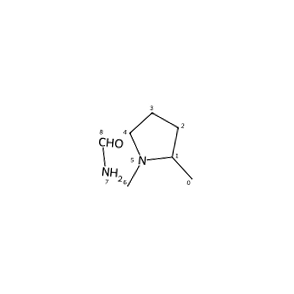 CC1CCCN1C.NC=O